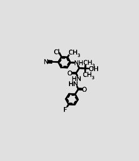 Cc1c(NC(C(=O)NNC(=O)c2ccc(F)cc2)C(C)(C)O)ccc(C#N)c1Cl